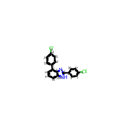 Clc1ccc(-c2nc3c(-c4ccc(Cl)cc4)cccc3[nH]2)cc1